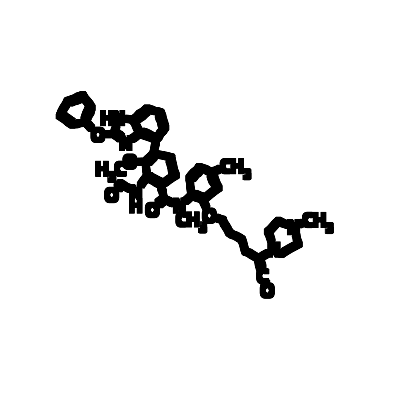 COc1c(-c2cccc3[nH]c(Oc4ccccc4)nc23)ccc(C(=O)N(C)c2ccc(C)cc2OCCCCC(=C=O)N2CCN(C)CC2)c1NC=O